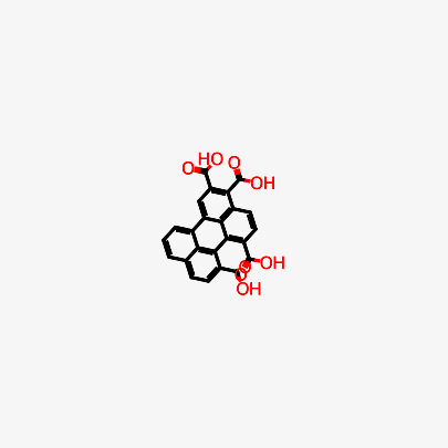 O=C(O)c1cc2c3cccc4ccc(C(=O)O)c(c5c(C(=O)O)ccc(c1C(=O)O)c25)c43